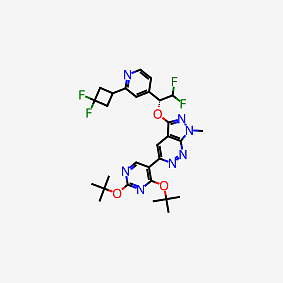 Cn1nc(O[C@H](c2ccnc(C3CC(F)(F)C3)c2)C(F)F)c2cc(-c3cnc(OC(C)(C)C)nc3OC(C)(C)C)nnc21